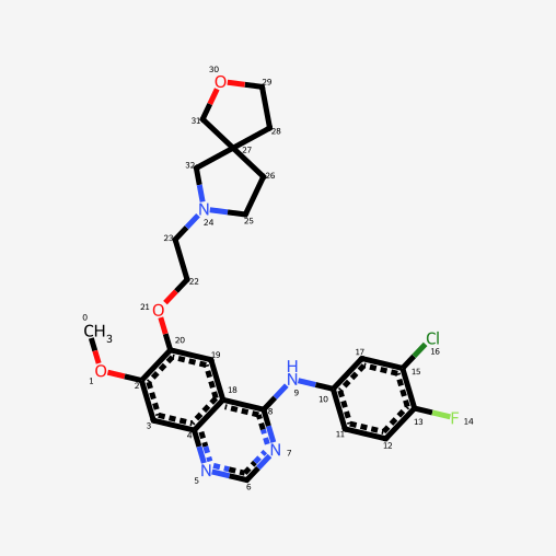 COc1cc2ncnc(Nc3ccc(F)c(Cl)c3)c2cc1OCCN1CCC2(CCOC2)C1